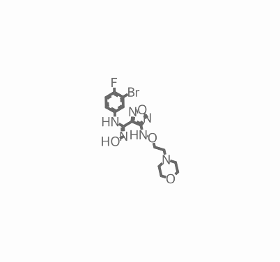 O/N=C(\Nc1ccc(F)c(Br)c1)c1nonc1NOCCN1CCOCC1